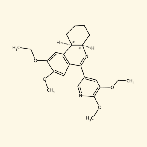 CCOc1cc2c(cc1OC)C(c1cnc(OC)c(OCC)c1)=N[C@@H]1CCCC[C@H]21